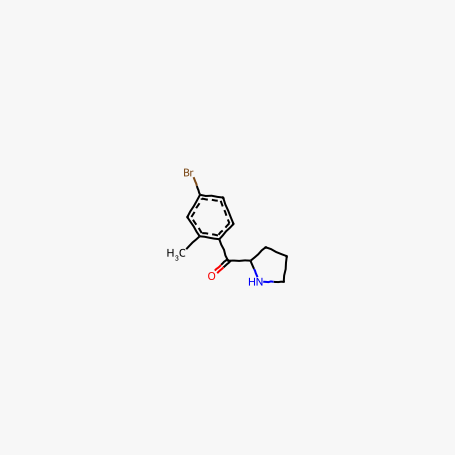 Cc1cc(Br)ccc1C(=O)C1CCCN1